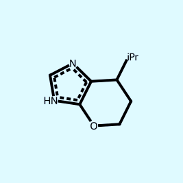 CC(C)C1CCOc2[nH]cnc21